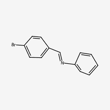 Brc1ccc(C=Nc2ccccc2)cc1